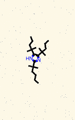 CCCCC(C)(C)c1nc(C(C)(C)CCC)c(C(C)(C)CCC)[nH]1